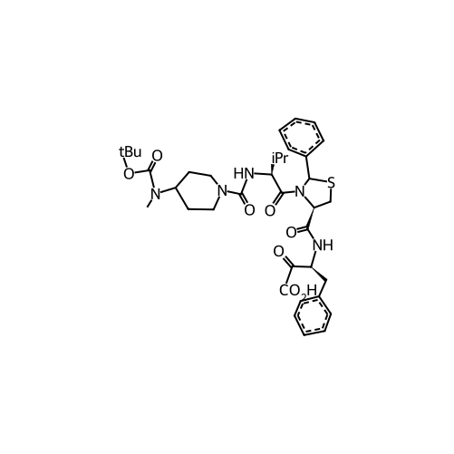 CC(C)[C@H](NC(=O)N1CCC(N(C)C(=O)OC(C)(C)C)CC1)C(=O)N1C(c2ccccc2)SC[C@H]1C(=O)N[C@@H](Cc1ccccc1)C(=O)C(=O)O